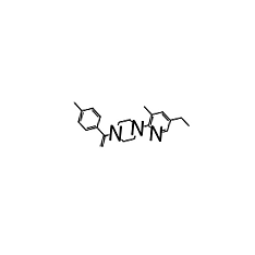 C=C(c1ccc(C)cc1)N1CCN(c2ncc(CC)cc2C)CC1